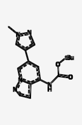 Cn1cc(-c2cc(NC(=O)OC(C)(C)C)c3ccnn3c2)cn1